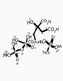 O=C(O)CC(O)(CC(=O)O)C(=O)O.O=P(O)(O)O.O=P(O)(O)OP(=O)(O)O